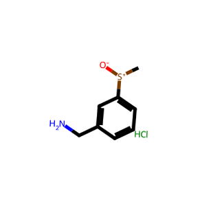 C[S+]([O-])c1cccc(CN)c1.Cl